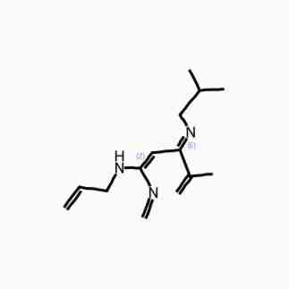 C=CCN/C(=C/C(=N\CC(C)C)C(=C)C)N=C